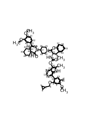 COc1cc(OCC2CC2)c(-c2ncnc3c(OC(=O)N[C@@H](C(=O)N4CCC(N5N=C(c6ccc(OC)c(OC)c6)[C@H]6CCCC[C@H]6C5=O)CC4)[C@H](C)c4ccccc4)c(C)[nH]c23)cc1F